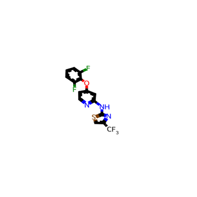 Fc1cccc(F)c1Oc1ccnc(Nc2nc(C(F)(F)F)cs2)c1